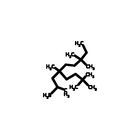 BC(C)CC(C)(CCC(C)(C)C)CCC(C)(C)CC